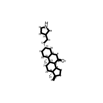 C=C1CCC2C3C(=O)CC4C[C@@H](CCC5CCNC5)CC[C@]4(C)C3CC[C@]12C